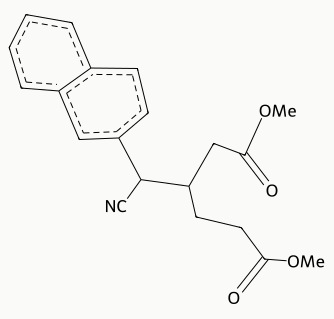 COC(=O)CCC(CC(=O)OC)C(C#N)c1ccc2ccccc2c1